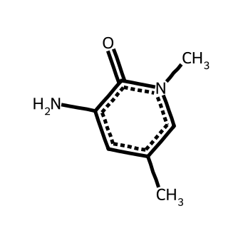 Cc1cc(N)c(=O)n(C)c1